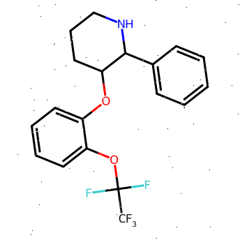 FC(F)(F)C(F)(F)Oc1ccccc1OC1CCCNC1c1c[c]ccc1